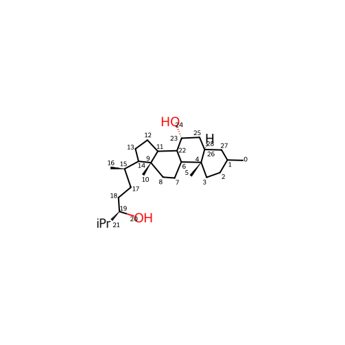 CC1CC[C@]2(C)C3CC[C@@]4(C)C(CCC4[C@H](C)CC[C@@H](O)C(C)C)C3[C@H](O)C[C@H]2C1